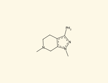 CN1CCc2c(P)nn(C)c2C1